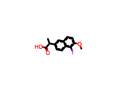 COc1ccc2cc(C(C)C(=O)O)ccc2c1I